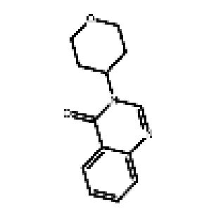 O=c1c2ccccc2ncn1C1CCOCC1